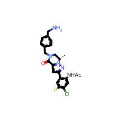 CC(=O)Nc1cc(Cl)c(F)cc1-c1cc2n(n1)[C@@H](C)CN(Cc1ccc(CN)cc1)C2=O